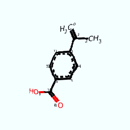 C=C(C)c1ccc(C(=O)O)cc1